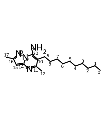 CCCCCCCCCCc1c(C)nc2cc(C)nn2c1N